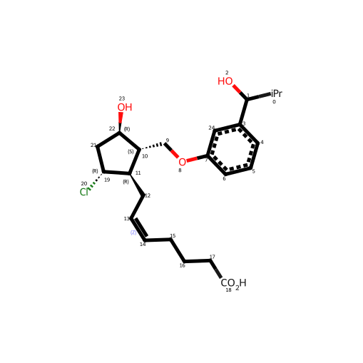 CC(C)C(O)c1cccc(OC[C@@H]2[C@@H](C/C=C\CCCC(=O)O)[C@H](Cl)C[C@H]2O)c1